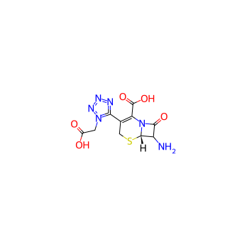 NC1C(=O)N2C(C(=O)O)=C(c3nnnn3CC(=O)O)CS[C@@H]12